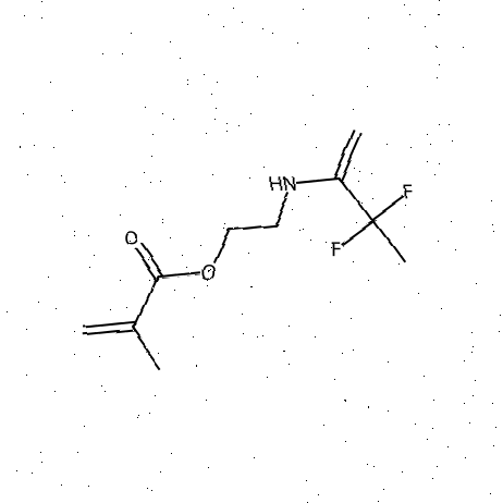 C=C(C)C(=O)OCCNC(=C)C(C)(F)F